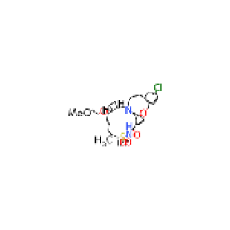 COCCO[C@H]1/C=C/C[C@@H](C)[C@H](C(C)C)S(=O)(=O)NC(=O)c2ccc3c(c2)N(CCCCc2cc(Cl)ccc2CO3)C[C@@H]2CC[C@H]21